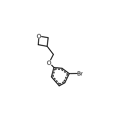 Brc1cccc(OCC2COC2)c1